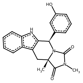 CN1C(=O)N2[C@H](c3cccc(O)c3)c3[nH]c4ccccc4c3C[C@@]2(C)C1=O